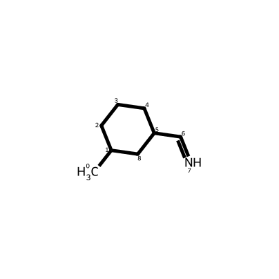 CC1CCCC(C=N)C1